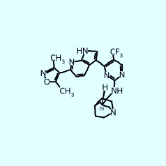 Cc1noc(C)c1-c1ccc2c(-c3nc(N[C@H]4CC5CCN(CC5)C4)ncc3C(F)(F)F)c[nH]c2n1